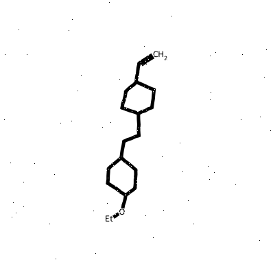 C=CC1CCC(CCC2CCC(OCC)CC2)CC1